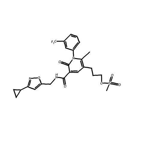 Cc1c(CCCOS(C)(=O)=O)cc(C(=O)NCc2cc(C3CC3)no2)c(=O)n1-c1cccc(C(F)(F)F)c1